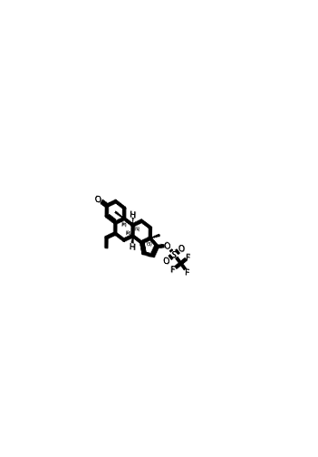 CCC1C[C@H]2C3=CC=C(OS(=O)(=O)C(F)(F)F)[C@@]3(C)CC[C@@H]2[C@@]2(C)CCC(=O)C=C12